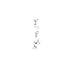 O=C(CCc1ccc(OC2CCCCO2)c(OC2CCCCO2)c1)Oc1ccc(-c2ccc3cc(OC4CCCCO4)ccc3c2)cc1